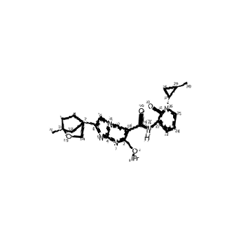 CC(C)Oc1nc2nc([C@]34CC[C@](C)(C3)OC4)cn2cc1C(=O)Nc1cccn([C@@H]2C[C@H]2C)c1=O